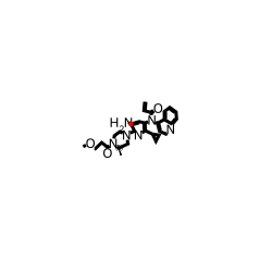 C=CC(=O)N(c1cc(N)c(N2CCN(C(=O)CCOC)[C@H](C)C2)nc1C1CC1)c1ccnc2ccccc12